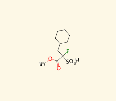 CC(C)OC(=O)C(F)(CC1CCCCC1)S(=O)(=O)O